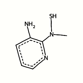 CN(S)c1ncccc1N